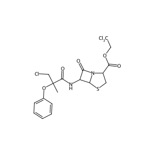 CC(CCl)(Oc1ccccc1)C(=O)NC1C(=O)N2C(C(=O)OCC(Cl)(Cl)Cl)CSC12